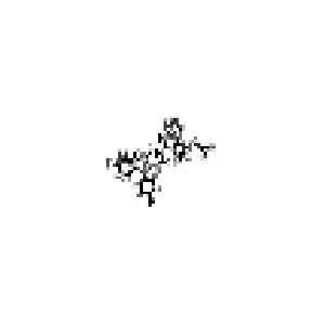 C[C@@H]1CN(c2nc3nncn3c3c2ncn3CC2CC2)[C@@H](C)CN1C(c1ccc(F)cc1)c1ccc(F)cc1